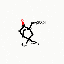 CC1(C)CC2(CS(=O)(=O)O)CC1CC2=O